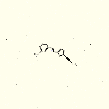 CC#Cc1ccc(/C=C/c2ccnc(C)c2)s1